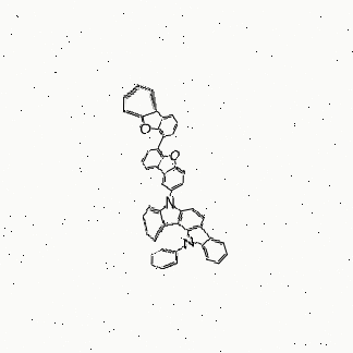 c1ccc(-n2c3ccccc3c3ccc4c(c5ccccc5n4-c4ccc5oc6c(-c7cccc8c7oc7ccccc78)cccc6c5c4)c32)cc1